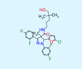 CC(C)(CO)CCCNC(=O)C1(C)C(c2ccc(F)cc2F)=NN(c2ccc(F)cc2F)C1c1ccc(Cl)o1